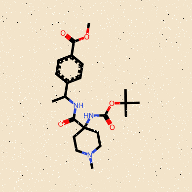 COC(=O)c1ccc(C(C)NC(=O)C2(NC(=O)OC(C)(C)C)CCN(C)CC2)cc1